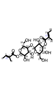 C/C=C(\C)C(=O)O[C@H]1O[C@H](CO)[C@@H](O[C@H]2O[C@H](CO)[C@@H](O)[C@H](OC(=O)/C(C)=C/C)[C@H]2O)[C@H](O)[C@H]1O